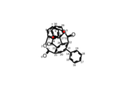 O=C1Oc2ccc(cc2)OC(=O)c2c(-c3ccccc3)cc1c(C(=O)O)c2-c1ccccc1